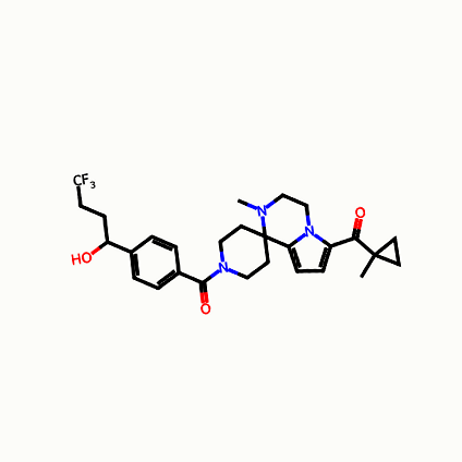 CN1CCn2c(C(=O)C3(C)CC3)ccc2C12CCN(C(=O)c1ccc(C(O)CCC(F)(F)F)cc1)CC2